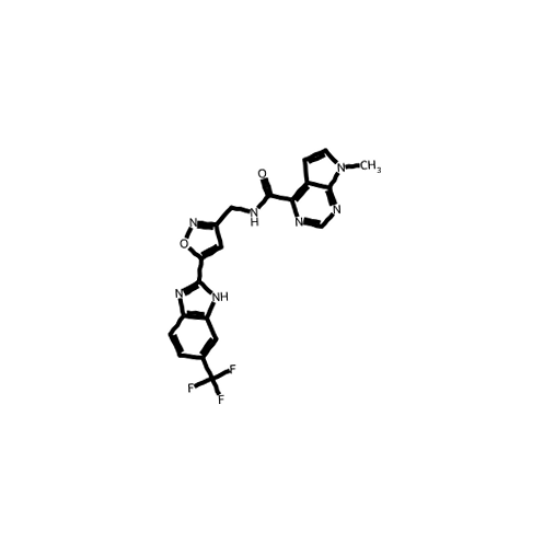 Cn1ccc2c(C(=O)NCc3cc(-c4nc5ccc(C(F)(F)F)cc5[nH]4)on3)ncnc21